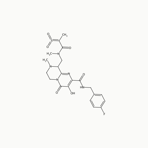 CC(C(=O)N(C)CC1c2nc(C(=O)NCc3ccc(F)cc3)c(O)c(=O)n2CCN1C)=S(=O)=O